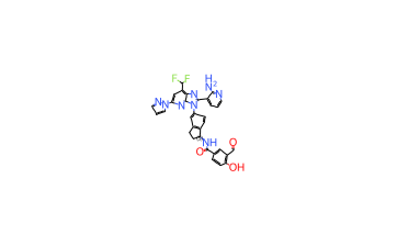 Nc1ncccc1-c1nc2c(C(F)F)cc(-n3cccn3)nc2n1-c1ccc2c(c1)CC[C@@H]2NC(=O)c1ccc(O)c(C=O)c1